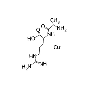 CC(N)C(=O)NC(CCCNC(=N)N)C(=O)O.[Cu]